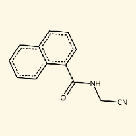 N#CCNC(=O)c1cccc2ccccc12